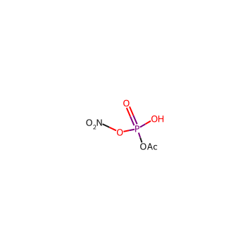 CC(=O)OP(=O)(O)O[N+](=O)[O-]